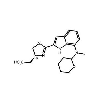 CN(c1cccc2cc(C3=N[C@@H](CC(=O)O)CS3)[nH]c12)C1CCCCO1